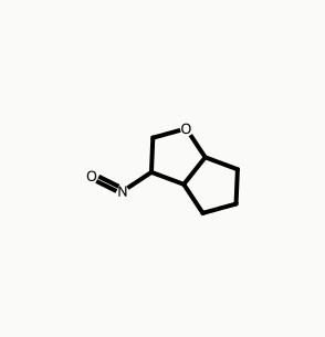 O=NC1COC2CCCC12